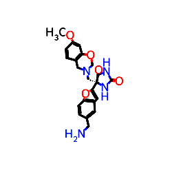 COc1ccc2c(c1)OCN(C[C@@]1(c3cc4cc(CN)ccc4o3)NC(=O)NC1=O)C2